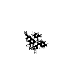 Cc1cc(Nc2c(C#N)cnc3c(Cl)cc(N[C@H](C4=CNNN4)c4ccc(F)cc4)cc23)cnc1F